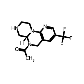 CC(=O)N1Cc2cc(C(F)(F)F)cnc2N2CCNC[C@@H]12